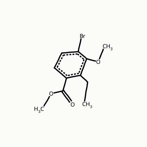 CCc1c(C(=O)OC)ccc(Br)c1OC